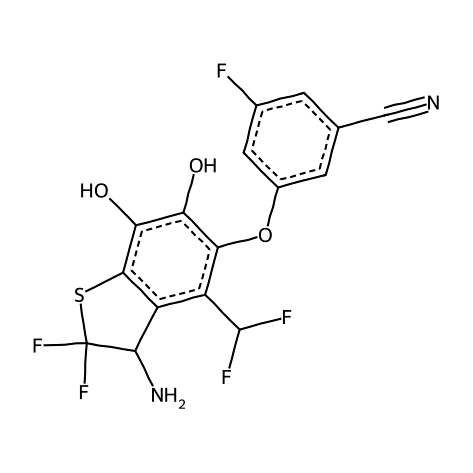 N#Cc1cc(F)cc(Oc2c(O)c(O)c3c(c2C(F)F)C(N)C(F)(F)S3)c1